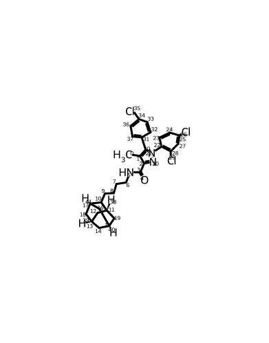 Cc1c(C(=O)NCCCCC2[C@H]3C[C@@H]4C[C@@H](C[C@H]2C4)C3)nn(-c2ccc(Cl)cc2Cl)c1-c1ccc(Cl)cc1